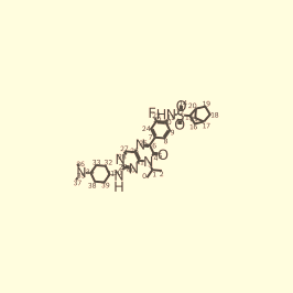 CC(C)n1c(=O)c(-c2ccc(NS(=O)(=O)C3CC4CCC3C4)c(F)c2)nc2cnc(N[C@H]3CC[C@H](N(C)C)CC3)nc21